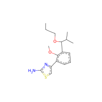 CCCOC(c1cccc(-c2csc(N)n2)c1OC)C(C)C